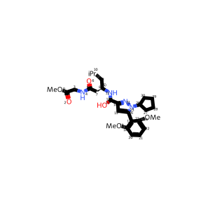 COC(=O)CNC(=O)C[C@H](CC(C)C)NC(O)c1cc(-c2c(OC)cccc2OC)n(C2CCCC2)n1